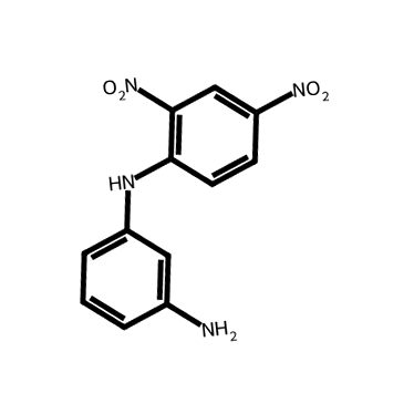 Nc1cccc(Nc2ccc([N+](=O)[O-])cc2[N+](=O)[O-])c1